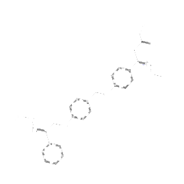 CO/N=C(\COc1ccc(COc2ccc(/C(CC(=O)OC)=N\OC)cc2)cc1)c1ccccc1